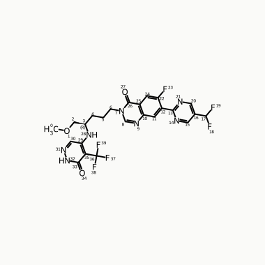 COC[C@@H](CCCn1cnc2cc(-c3ncc(C(F)F)cn3)c(F)cc2c1=O)Nc1cn[nH]c(=O)c1C(F)(F)F